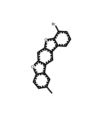 Cc1ccc2oc3cc4oc5c(Br)cccc5c4cc3c2c1